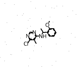 COc1ccccc1C(C)Nc1ncnc(Cl)c1C